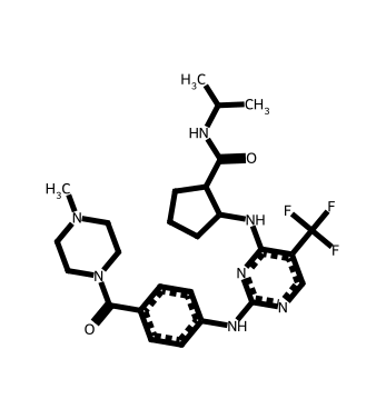 CC(C)NC(=O)C1CCCC1Nc1nc(Nc2ccc(C(=O)N3CCN(C)CC3)cc2)ncc1C(F)(F)F